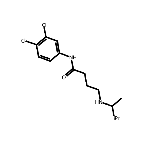 CC(C)C(C)NCCCC(=O)Nc1ccc(Cl)c(Cl)c1